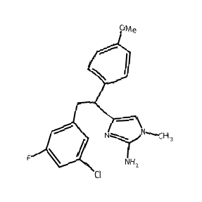 COc1ccc(C(Cc2cc(F)cc(Cl)c2)c2cn(C)c(N)n2)cc1